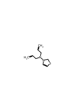 C=CCN(CC=C)N1C=CSC1